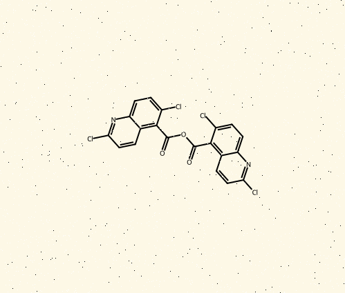 O=C(OC(=O)c1c(Cl)ccc2nc(Cl)ccc12)c1c(Cl)ccc2nc(Cl)ccc12